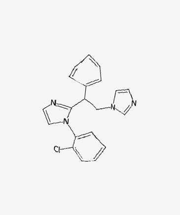 Clc1ccccc1-n1ccnc1C(Cn1ccnc1)c1ccccc1